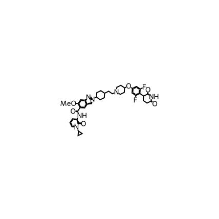 COc1cc2nn(C3CCC(CCN4CCC(Oc5cc(F)c(C6CCC(=O)NC6=O)c(F)c5)CC4)CC3)cc2cc1C(=O)Nc1cccn(C2CC2)c1=O